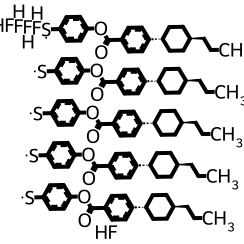 CCC[C@H]1CC[C@H](c2ccc(C(=O)Oc3ccc([S])cc3)cc2)CC1.CCC[C@H]1CC[C@H](c2ccc(C(=O)Oc3ccc([S])cc3)cc2)CC1.CCC[C@H]1CC[C@H](c2ccc(C(=O)Oc3ccc([S])cc3)cc2)CC1.CCC[C@H]1CC[C@H](c2ccc(C(=O)Oc3ccc([S])cc3)cc2)CC1.CCC[C@H]1CC[C@H](c2ccc(C(=O)Oc3ccc([S])cc3)cc2)CC1.F.F.F.F.F